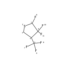 FC1SCC(C(F)(F)F)C1(F)F